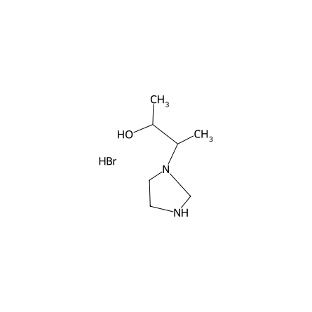 Br.CC(O)C(C)N1CCNC1